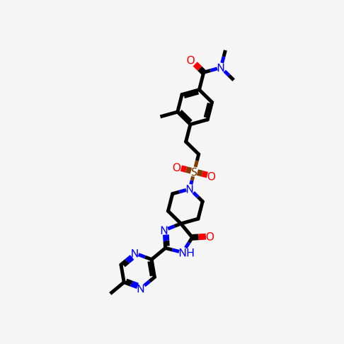 Cc1cnc(C2=NC3(CCN(S(=O)(=O)CCc4ccc(C(=O)N(C)C)cc4C)CC3)C(=O)N2)cn1